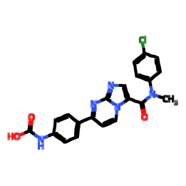 CN(C(=O)c1cnc2nc(-c3ccc(NC(=O)O)cc3)ccn12)c1ccc(Cl)cc1